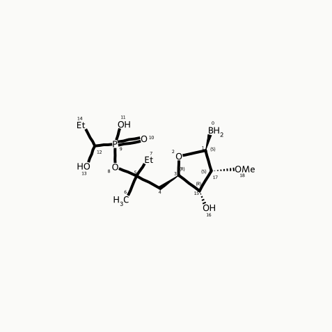 B[C@@H]1O[C@H](CC(C)(CC)OP(=O)(O)C(O)CC)[C@@H](O)[C@H]1OC